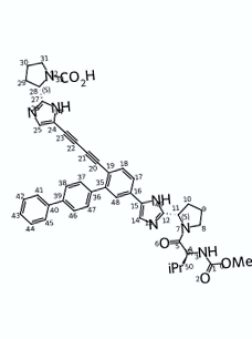 COC(=O)N[C@H](C(=O)N1CCC[C@H]1c1ncc(-c2ccc(C#CC#Cc3cnc([C@@H]4CCCN4C(=O)O)[nH]3)c(-c3ccc(-c4ccccc4)cc3)c2)[nH]1)C(C)C